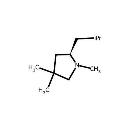 CC(C)C[C@@H]1CC(C)(C)CN1C